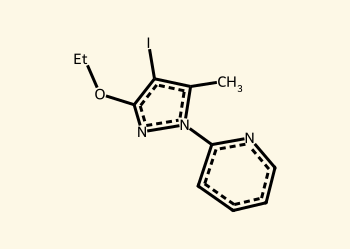 CCOc1nn(-c2ccccn2)c(C)c1I